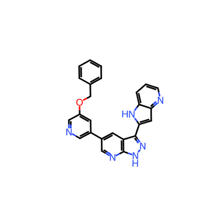 c1ccc(COc2cncc(-c3cnc4[nH]nc(-c5cc6ncccc6[nH]5)c4c3)c2)cc1